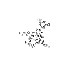 CCO[Si](CCCN(CCC[Si](OCC)(OCC)OCC)c1nc(Cl)nc(Cl)n1)(OCC)OCC